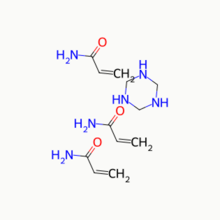 C1NCNCN1.C=CC(N)=O.C=CC(N)=O.C=CC(N)=O